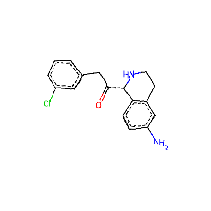 Nc1ccc2c(c1)CCNC2C(=O)Cc1cccc(Cl)c1